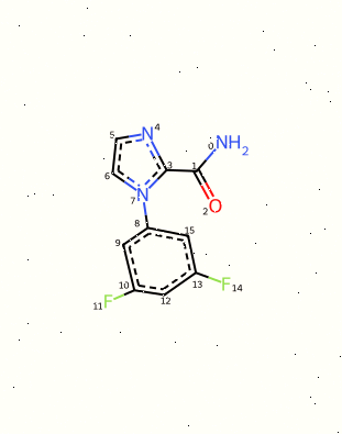 NC(=O)c1nccn1-c1cc(F)cc(F)c1